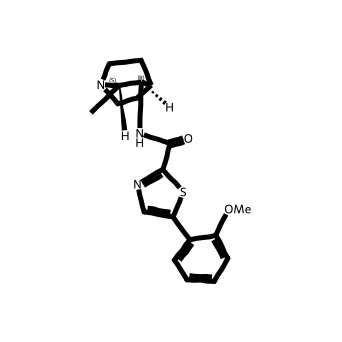 COc1ccccc1-c1cnc(C(=O)N[C@@H]2C3CCN(CC3)[C@H]2C)s1